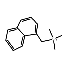 [CH3][Sn]([CH3])([CH3])[CH2]c1cccc2ccccc12